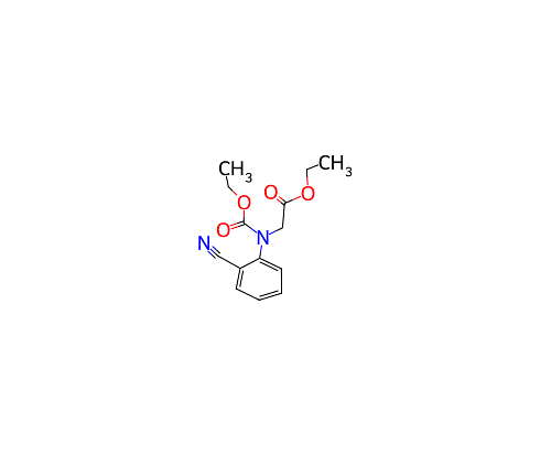 CCOC(=O)CN(C(=O)OCC)c1ccccc1C#N